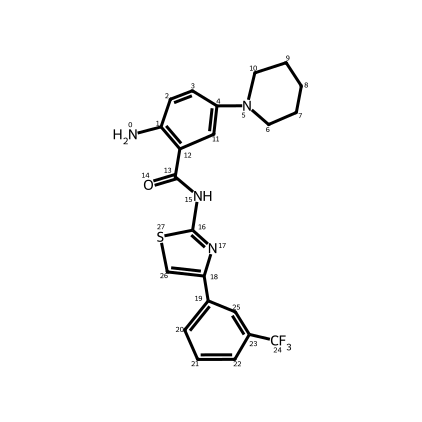 Nc1ccc(N2CCCCC2)cc1C(=O)Nc1nc(-c2cccc(C(F)(F)F)c2)cs1